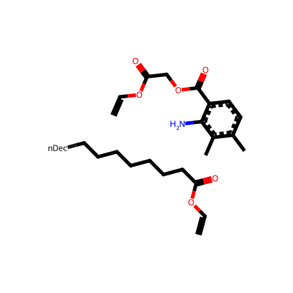 C=COC(=O)CCCCCCCCCCCCCCCCC.C=COC(=O)COC(=O)c1ccc(C)c(C)c1N